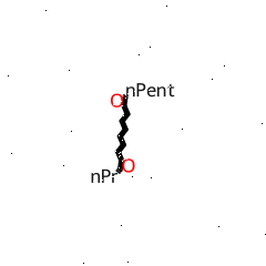 CCCCCC1OC1CCCCCCC1OC1CCC